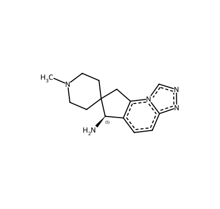 CN1CCC2(CC1)Cc1c(ccc3nncn13)[C@H]2N